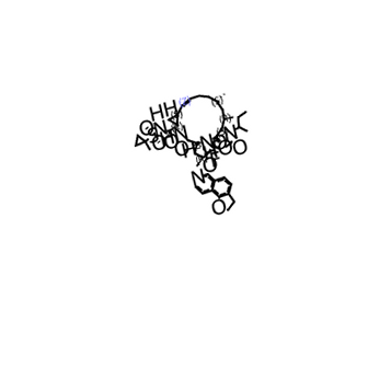 CCC(C)N(C(=O)O)[C@@H]1C(=O)N2[C@@H](C[C@@](C)(Oc3nccc4c5c(ccc34)CCO5)C2(F)F)C(=O)N[C@]2(C(=O)NS(=O)(=O)C3(C)CC3)C[C@H]2/C=C\CC[C@H](C)C[C@H]1C